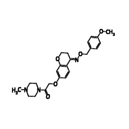 COc1ccc(CON=C2CCOc3cc(OCC(=O)N4CCN(C)CC4)ccc32)cc1